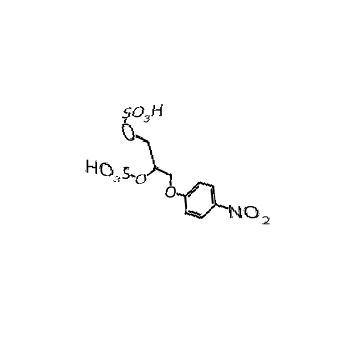 O=[N+]([O-])c1ccc(OCC(COS(=O)(=O)O)OS(=O)(=O)O)cc1